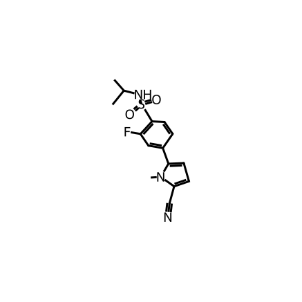 CC(C)NS(=O)(=O)c1ccc(-c2ccc(C#N)n2C)cc1F